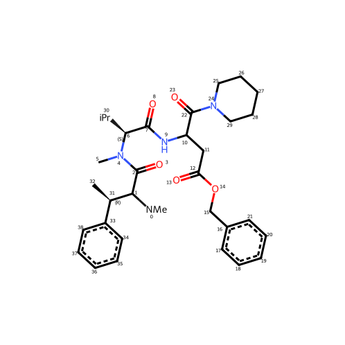 CNC(C(=O)N(C)[C@H](C(=O)NC(CC(=O)OCc1ccccc1)C(=O)N1CCCCC1)C(C)C)[C@H](C)c1ccccc1